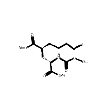 COC(=O)[C@@H](CCCCI)C[C@H](NC(=O)OC(C)(C)C)C(=O)OC